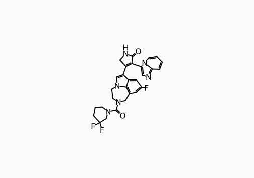 O=C1NCC(c2cn3c4c(cc(F)cc24)CN(C(=O)N2CCCC(F)(F)C2)CC3)=C1c1cnc2ccccn12